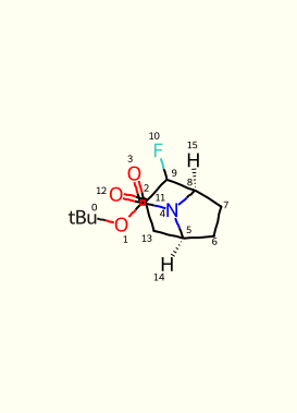 CC(C)(C)OC(=O)N1[C@H]2CC[C@@H]1C(F)C(=O)C2